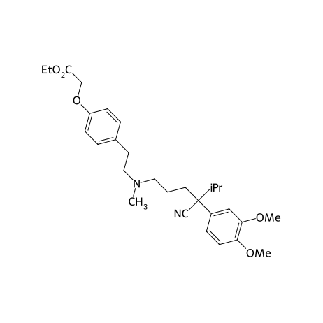 CCOC(=O)COc1ccc(CCN(C)CCCC(C#N)(c2ccc(OC)c(OC)c2)C(C)C)cc1